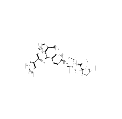 Cn1cc(-c2cn3ncc(C#N)c3c(-c3ccc(N4CCN(C(=O)[C@]5(C)CCCN5)CC4)nc3)n2)cn1